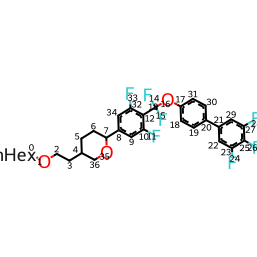 CCCCCCOCCC1CCC(c2cc(F)c(C(F)(F)Oc3ccc(-c4cc(F)c(F)c(F)c4)cc3)c(F)c2)OC1